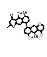 Cc1cc(=O)c2c(O)c3c(O)ccc(-c4ccc(O)c5c(O)c6c(=O)ccoc6cc45)c3cc2o1